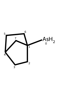 [AsH2]C12CCC(CC1)C2